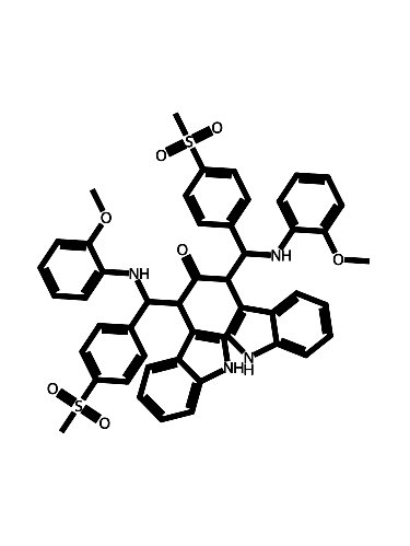 COc1ccccc1NC(c1ccc(S(C)(=O)=O)cc1)C(C(=O)C(c1c[nH]c2ccccc12)C(Nc1ccccc1OC)c1ccc(S(C)(=O)=O)cc1)c1c[nH]c2ccccc12